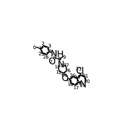 Cc1ccc(NC(=O)C(C)N2CCC(Oc3ccc4nccc(Cl)c4c3)CC2)cc1